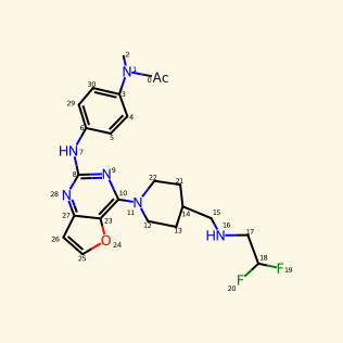 CC(=O)N(C)c1ccc(Nc2nc(N3CCC(CNCC(F)F)CC3)c3occc3n2)cc1